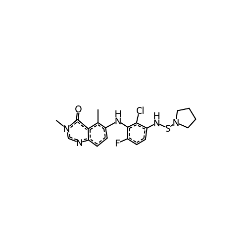 Cc1c(Nc2c(F)ccc(NSN3CCCC3)c2Cl)ccc2ncn(C)c(=O)c12